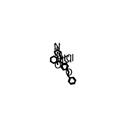 CN(C)[C@@H]1CCN(CC(c2ccc(OCc3ccccc3)cc2)C2(O)CCCCC2)C1.Cl.Cl